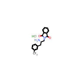 Cl.N[C@@H](Cc1cccc(C(F)(F)F)c1)CN1C(=O)c2ccccc2C1=O